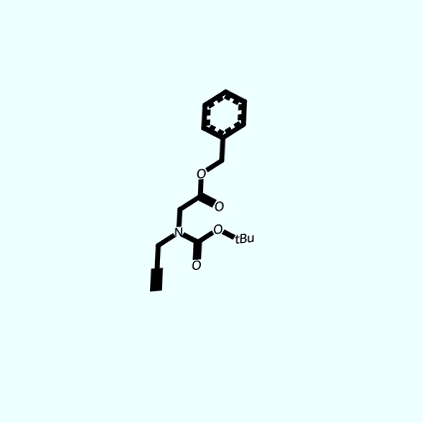 C#CCN(CC(=O)OCc1ccccc1)C(=O)OC(C)(C)C